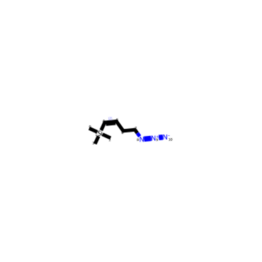 C[Si](C)(C)/C=C\CCN=[N+]=[N-]